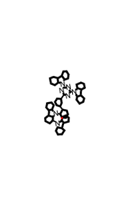 c1cc(-c2nc(-n3c4ccccc4c4ccccc43)nc(-n3c4ccccc4c4ccccc43)n2)cc(-c2ccccc2-n2c3ccccc3c3cccc(-n4c5ccccc5c5ccccc54)c32)c1